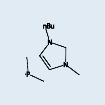 CCCCN1C=CN(C)C1.C[P]C